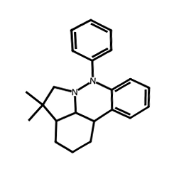 CC1(C)CN2C3C(CCCC31)c1ccccc1N2c1ccccc1